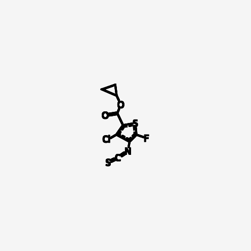 O=C(OC1CC1)c1sc(F)c(N=C=S)c1Cl